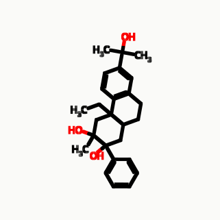 CCC12CC(C)(O)C(O)(c3ccccc3)CC1CCc1cc(C(C)(C)O)ccc12